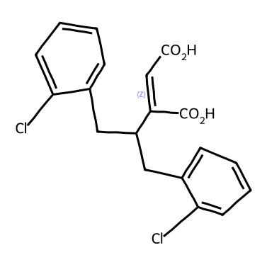 O=C(O)/C=C(\C(=O)O)C(Cc1ccccc1Cl)Cc1ccccc1Cl